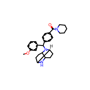 COc1cccc(C(c2ccc(C(=O)N3CCCCC3)cc2)N2C3CCC4NC3CC[C@@H]42)c1